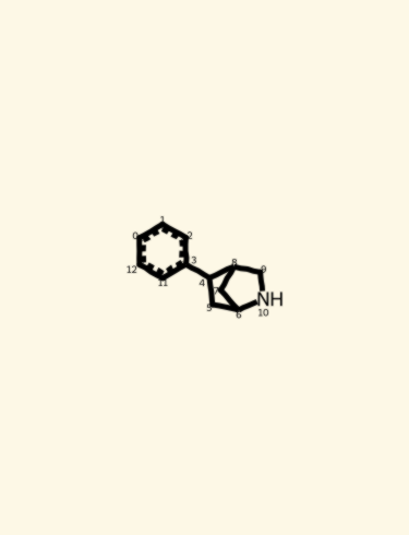 c1ccc(C2CC3CC2CN3)cc1